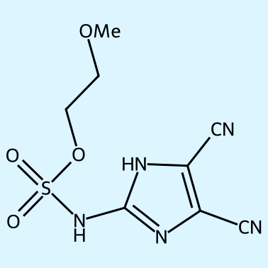 COCCOS(=O)(=O)Nc1nc(C#N)c(C#N)[nH]1